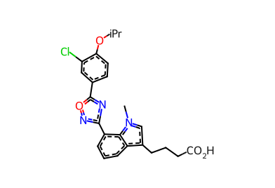 CC(C)Oc1ccc(-c2nc(-c3cccc4c(CCCC(=O)O)cn(C)c34)no2)cc1Cl